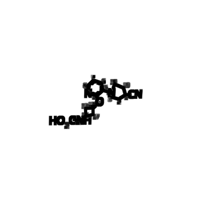 N#CC1CCN(c2cccnc2OC2CC(NC(=O)O)C2)CC1